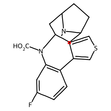 CN1C2CCC1CC(N(C(=O)O)c1cc(F)ccc1-c1ccsc1)C2